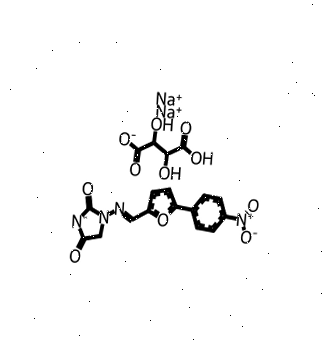 O=C([O-])C(O)C(O)C(=O)O.O=C1CN(N=Cc2ccc(-c3ccc([N+](=O)[O-])cc3)o2)C(=O)[N-]1.[Na+].[Na+]